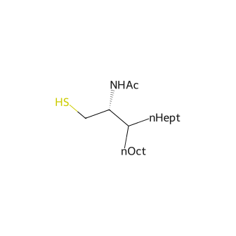 CCCCCCCCC(CCCCCCC)[C@H](CS)NC(C)=O